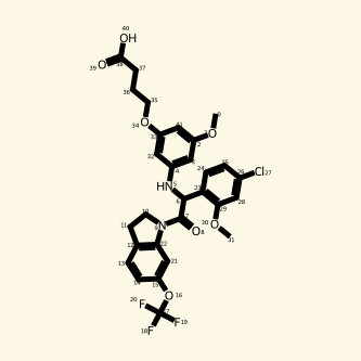 COc1cc(NC(C(=O)N2CCc3ccc(OC(F)(F)F)cc32)c2ccc(Cl)cc2OC)cc(OCCCC(=O)O)c1